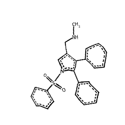 CNCc1cn(S(=O)(=O)c2ccccc2)c(-c2ccccc2)c1-c1ccccc1